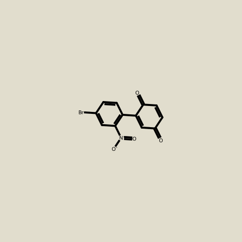 O=C1C=CC(=O)C(c2ccc(Br)cc2[N+](=O)[O-])=C1